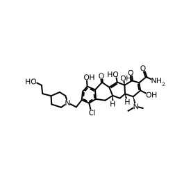 CN(C)[C@@H]1C(O)=C(C(N)=O)C(=O)[C@@]2(O)C(O)=C3C(=O)c4c(O)cc(CN5CCC(CCO)CC5)c(Cl)c4C[C@H]3C[C@@H]12